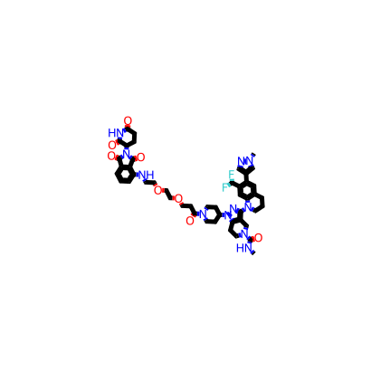 CNC(=O)N1CCc2c(c(N3CCCc4cc(-c5cnn(C)c5)c(C(F)F)cc43)nn2C2CCN(C(=O)CCOCCOCCNc3cccc4c3C(=O)N(C3CCC(=O)NC3=O)C4=O)CC2)C1